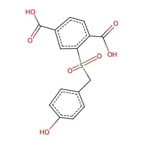 O=C(O)c1ccc(C(=O)O)c(S(=O)(=O)Cc2ccc(O)cc2)c1